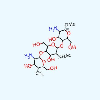 CO[C@@H]1OC(CO)C(OC2OC(CO)C(OC3OC(CO)C(C)C(O)C3N)C(O)C2NC(C)=O)C(O)C1N